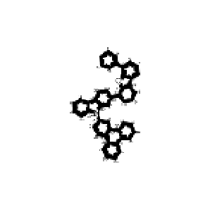 c1ccc(-c2cccc3c2oc2c(-c4ccc5c6ccccc6n(-c6ccc7c8ccccc8c8ccccc8c7c6)c5c4)cccc23)cc1